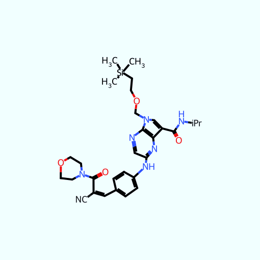 CC(C)NC(=O)c1cn(COCC[Si](C)(C)C)c2ncc(Nc3ccc(C=C(C#N)C(=O)N4CCOCC4)cc3)nc12